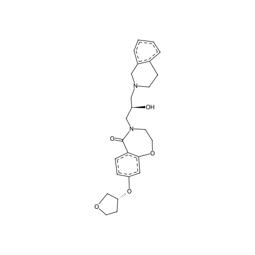 O=C1c2ccc(O[C@@H]3CCOC3)cc2OCCN1C[C@H](O)CN1CCc2ccccc2C1